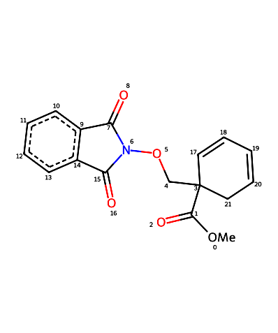 COC(=O)C1(CON2C(=O)c3ccccc3C2=O)C=CC=CC1